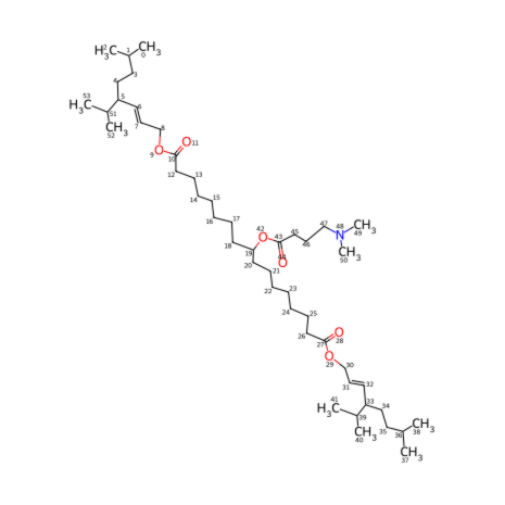 CC(C)CCC(C=CCOC(=O)CCCCCCCC(CCCCCCCC(=O)OCC=CC(CCC(C)C)C(C)C)OC(=O)CCCN(C)C)C(C)C